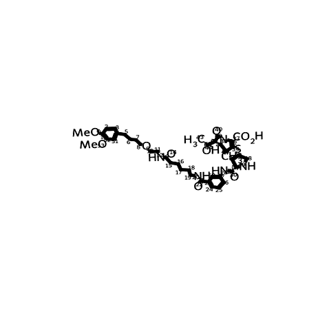 COc1ccc(CCCCOCCNC(=O)CCCCCNC(=O)c2cccc(NC(=O)[C@@H]3C[C@H](SC4=C(C(=O)O)N5C(=O)[C@H]([C@@H](C)O)C5[C@H]4C)CN3)c2)cc1OC